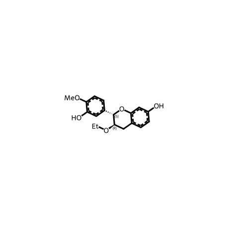 CCO[C@@H]1Cc2ccc(O)cc2O[C@H]1c1ccc(OC)c(O)c1